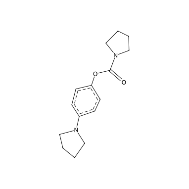 O=C(Oc1ccc(N2CCCC2)cc1)N1CCCC1